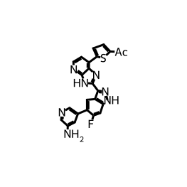 CC(=O)c1ccc(-c2ccnc3[nH]c(-c4n[nH]c5cc(F)c(-c6cncc(N)c6)cc45)nc23)s1